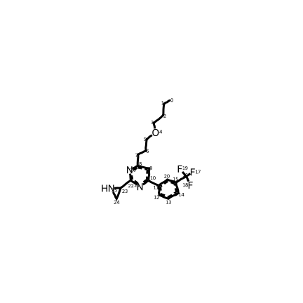 CCCCOCCCc1cc(-c2cccc(C(F)(F)F)c2)nc(C2CN2)n1